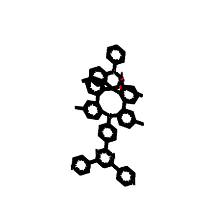 Cc1ccc2c(c1)-c1ccccc1C1(c3ccccc3-c3cc(C)ccc3N2c2ccc(-c3nc(-c4ccncc4)cc(-c4ccncc4)n3)cc2)c2cc(C)ccc2N(c2ccccc2)c2ccc(C)cc21